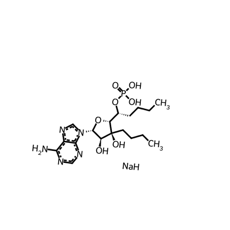 CCCC[C@@H](OP(=O)(O)O)[C@H]1O[C@@H](n2cnc3c(N)ncnc32)[C@H](O)[C@@]1(O)CCCC.[NaH]